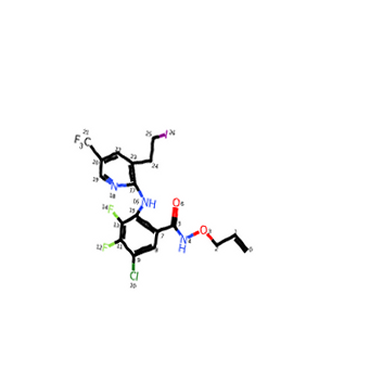 C=CCONC(=O)c1cc(Cl)c(F)c(F)c1Nc1ncc(C(F)(F)F)cc1CCI